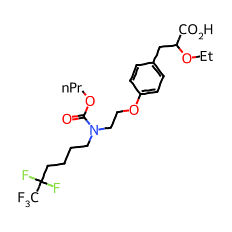 CCCOC(=O)N(CCCCC(F)(F)C(F)(F)F)CCOc1ccc(CC(OCC)C(=O)O)cc1